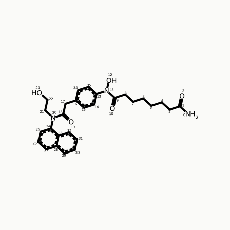 NC(=O)CCCCCCC(=O)N(O)c1ccc(CC(=O)N(CCO)c2cccc3ccccc23)cc1